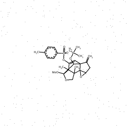 C=C1CC2OC23C12C=C(OS(=O)(=O)c1ccc(C)cc1)C1(C)C(OC)(OCC13C)C2O[Si](C)(C)C